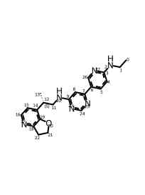 CCNc1ccc(-c2cc(NC[C@@H](C)c3ccnc4c3OCC4)ncn2)cn1